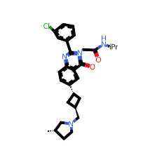 CC(C)NC(=O)Cn1c(-c2cccc(Cl)c2)nc2ccc([C@H]3C[C@H](CN4CC[C@H](C)C4)C3)cc2c1=O